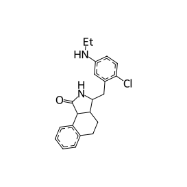 CCNc1ccc(Cl)c(CC2NC(=O)C3c4ccccc4CCC23)c1